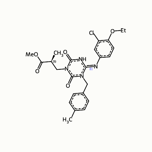 CCOc1ccc(/N=c2\[nH]c(=O)n(C[C@H](C)C(=O)OC)c(=O)n2Cc2ccc(C)cc2)cc1Cl